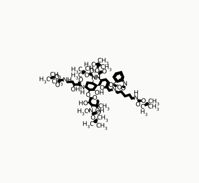 CN(C(=O)OC(C)(C)C)[C@@H]1[C@@H](O)[C@@H](O[C@@H]2[C@@H](O)[C@H](C3OC(CN(CCCCCNC(=O)OC(C)(C)C)S(=O)(=O)c4ccccc4N=O)=CC[C@H]3NC(=O)OC(C)(C)C)[C@@H](NC(=O)OC(C)(C)C)C[C@H]2NC(=O)[C@@H](O)CCNC(=O)OC(C)(C)C)OC[C@]1(C)O